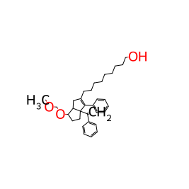 C=C(c1ccccc1)C12CCC(OCOC)C1CC(CCCCCCCCCO)=C2c1ccccc1